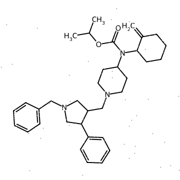 C=C1CCCCC1N(C(=O)OC(C)C)C1CCN(CC2CN(Cc3ccccc3)CC2c2ccccc2)CC1